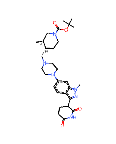 C[C@H]1CN(C(=O)OC(C)(C)C)CC[C@@H]1CN1CCN(c2ccc3c(C4CCC(=O)NC4=O)nn(C)c3c2)CC1